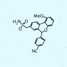 COc1cccc2c1-c1ccc(CS(N)(=O)=O)cc1C(c1ccc(C#N)cc1)O2